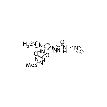 CSc1nnc(C(=O)Nc2cc(-n3cc(C(=O)NCCCN4CCOCC4)nn3)ccc2N2CCN(C)CC2)c(Cl)n1